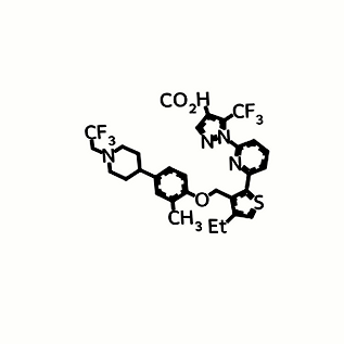 CCc1csc(-c2cccc(-n3ncc(C(=O)O)c3C(F)(F)F)n2)c1COc1ccc(C2CCN(CC(F)(F)F)CC2)cc1C